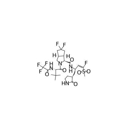 CC(C)(C)[C@H](NC(=O)C(F)(F)F)C(=O)N1C[C@H]2CC(F)(F)C[C@H]2[C@H]1C(=O)N[C@@H](/C=C(/F)S(C)(=O)=O)C[C@@H]1CCNC1=O